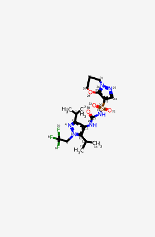 CC(C)c1nn(CC(F)(F)F)c(C(C)C)c1NC(=O)NS(=O)(=O)c1cnn2c1OCCC2